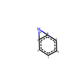 [c]1ccc2c3c1N23